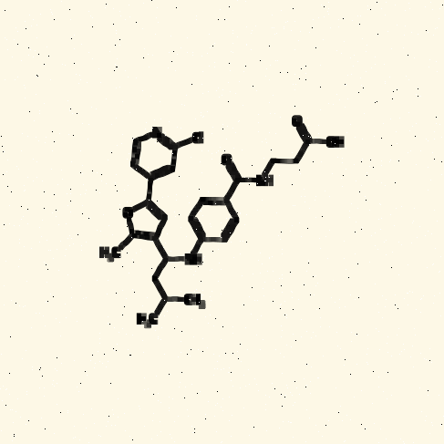 Cc1oc(-c2ccnc(Cl)c2)cc1C(CC(C)C)Nc1ccc(C(=O)NCCC(=O)O)cc1